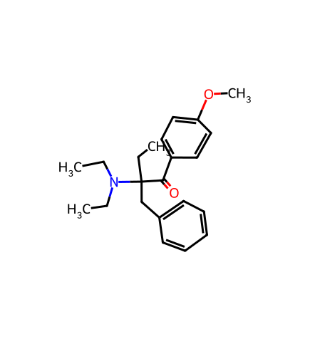 CCN(CC)C(CC)(Cc1ccccc1)C(=O)c1ccc(OC)cc1